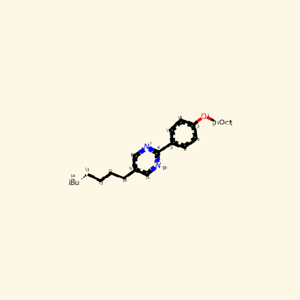 CCCCCCCCOc1ccc(-c2ncc(CCCC[C@@H](C)CC)cn2)cc1